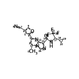 Cc1cc(-c2cc(C#N)co2)nc2c(C(=O)NC(C3CC3)C(F)(F)F)ncn12